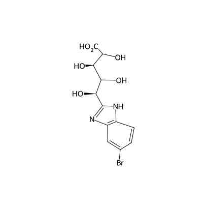 O=C(O)C(O)[C@H](O)C(O)[C@H](O)c1nc2cc(Br)ccc2[nH]1